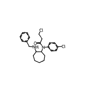 O=C(CCCl)N(c1ccc(Cl)cc1)C1CCCCCC1NCc1ccccc1